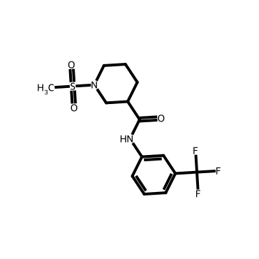 CS(=O)(=O)N1CCCC(C(=O)Nc2cccc(C(F)(F)F)c2)C1